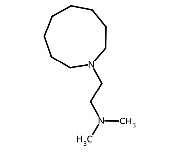 CN(C)CCN1CCCCCCCC1